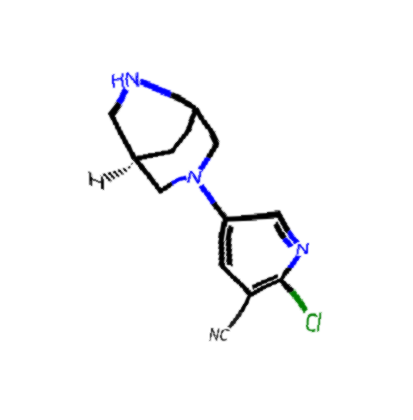 N#Cc1cc(N2CC3C[C@H](CN3)C2)cnc1Cl